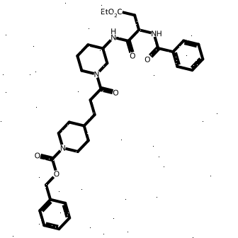 CCOC(=O)CC(NC(=O)c1ccccc1)C(=O)NC1CCCN(C(=O)CCC2CCN(C(=O)OCc3ccccc3)CC2)C1